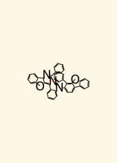 c1ccc(-c2nc(-c3ccccc3-n3c4ccccc4c4c5oc6ccccc6c5ccc43)c3oc4ccccc4c3n2)cc1